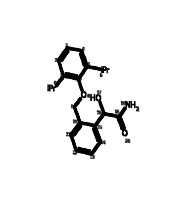 CC(C)c1cccc(C(C)C)c1OCc1ccccc1C(O)C(N)=O